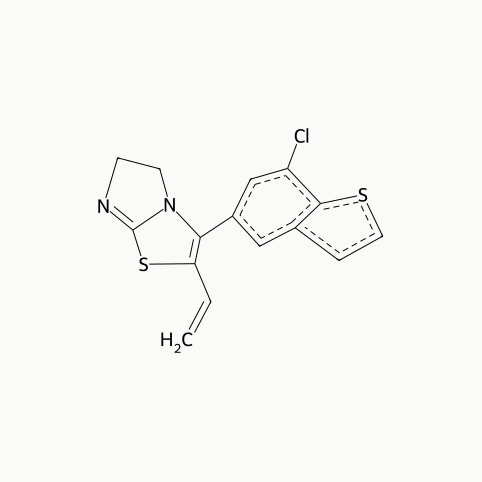 C=CC1=C(c2cc(Cl)c3sccc3c2)N2CCN=C2S1